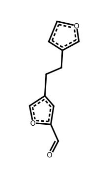 O=Cc1cc(CCc2ccoc2)co1